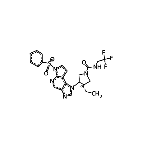 CC[C@H]1CN(C(=O)NCC(F)(F)F)CC1n1cnc2cnc3c(ccn3S(=O)(=O)c3ccccc3)c21